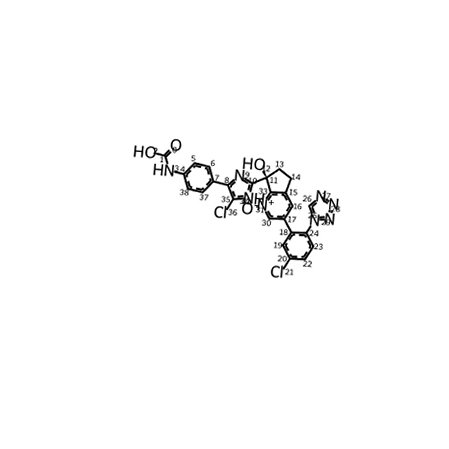 O=C(O)Nc1ccc(-c2nc([C@]3(O)CCc4cc(-c5cc(Cl)ccc5-n5cnnn5)c[n+]([O-])c43)[nH]c2Cl)cc1